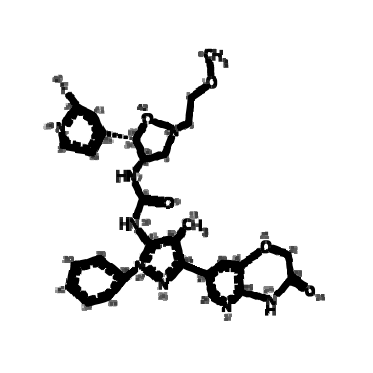 COCCN1C[C@@H](NC(=O)Nc2c(C)c(-c3cnc4c(c3)OCC(=O)N4)nn2-c2ccccc2)[C@H](c2ccnc(F)c2)O1